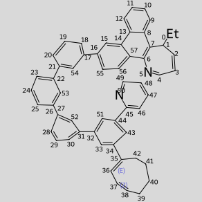 CCC1C=CC=Nc2c1c1ccccc1c1cc(-c3cccc(-c4cccc(-c5cccc(-c6cc(/C7=C/C=C\CCCC7)cc(-c7ccccn7)c6)c5)c4)c3)ccc21